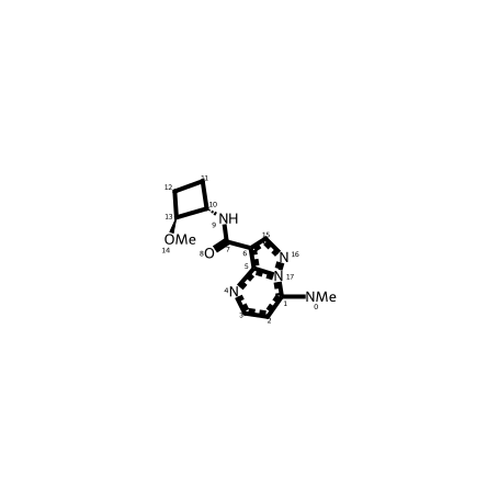 CNc1ccnc2c(C(=O)N[C@H]3CC[C@@H]3OC)cnn12